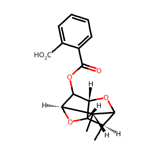 C[C@@H]1C2O[C@H]3C(OC(=O)c4ccccc4C(=O)O)[C@H](O[C@@H]13)[C@H]2C